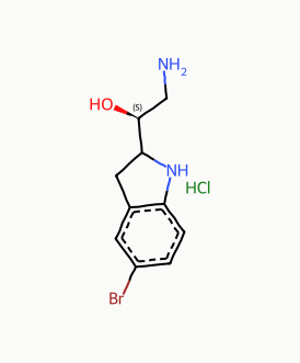 Cl.NC[C@H](O)C1Cc2cc(Br)ccc2N1